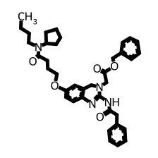 CCCCN(C(=O)CCCOc1ccc2c(c1)CN(CC(=O)OCc1ccccc1)C(NC(=O)Cc1ccccc1)=N2)C1CCCC1